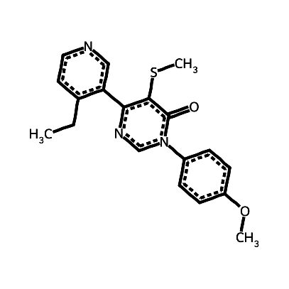 CCc1ccncc1-c1ncn(-c2ccc(OC)cc2)c(=O)c1SC